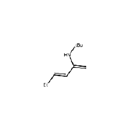 C=C(/C=C/CC)NC(C)(C)C